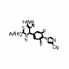 COC(=S)NC(c1cc(F)c(-n2cnc(C#N)c2)c(F)c1)c1c[nH]nn1